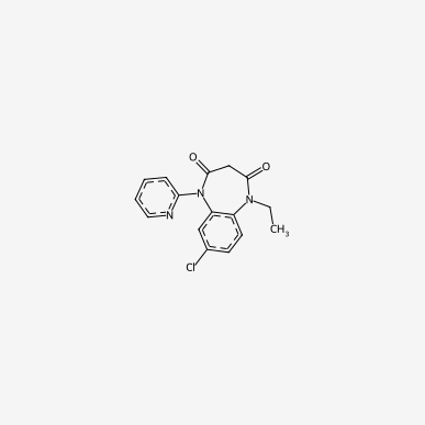 CCN1C(=O)CC(=O)N(c2ccccn2)c2cc(Cl)ccc21